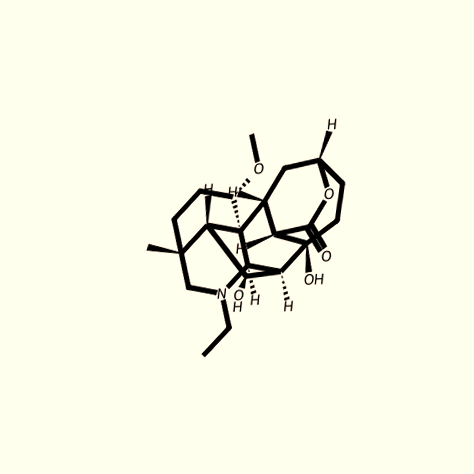 CCN1C[C@]2(C)CC[C@H](OC)[C@@]34[C@@H]5C[C@@H]6CC[C@](O)([C@@H]([C@@H](O)[C@H]23)[C@@H]14)[C@H]5C(=O)O6